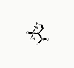 C=CC([N+](=O)[O-])P(=O)(O)O